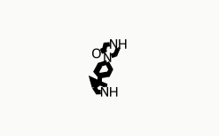 O=C1CNCCN1C1C=CC(C23CNCC2C3)=CC1